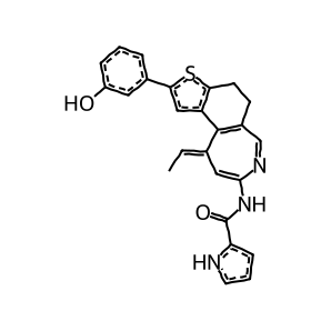 C/C=C1\C=C(NC(=O)c2ccc[nH]2)N=CC2=C1c1cc(-c3cccc(O)c3)sc1CC2